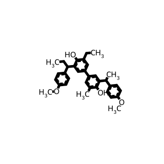 CCc1cc(-c2cc(C)c(O)c(C(C)c3ccc(OC)cc3)c2)cc(C(CC)c2ccc(OC)cc2)c1O